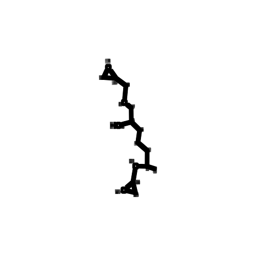 CC(CCCC(O)COCC1CO1)OC1CO1